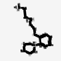 NCCNCCCc1ccccc1N1CCCCC1